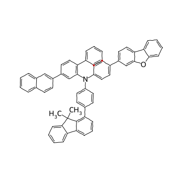 CC1(C)c2ccccc2-c2cccc(-c3ccc(N(c4ccc(-c5ccc6c(c5)oc5ccccc56)cc4)c4cc(-c5ccc6ccccc6c5)ccc4-c4ccccc4)cc3)c21